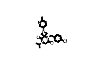 Cc1ccc(N2CC3(C2)C(=O)N(C(C)C)CC(=O)N3Cc2ccc(Cl)cc2)cn1